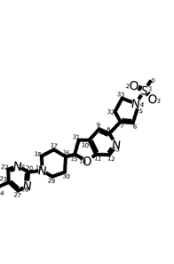 CS(=O)(=O)N1CC=C(c2cc3c(cn2)OC(C2CCN(c4ncc(C5CC5)cn4)CC2)C3)CC1